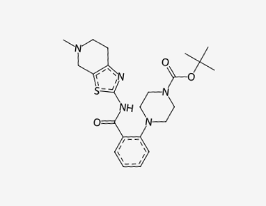 CN1CCc2nc(NC(=O)c3ccccc3N3CCN(C(=O)OC(C)(C)C)CC3)sc2C1